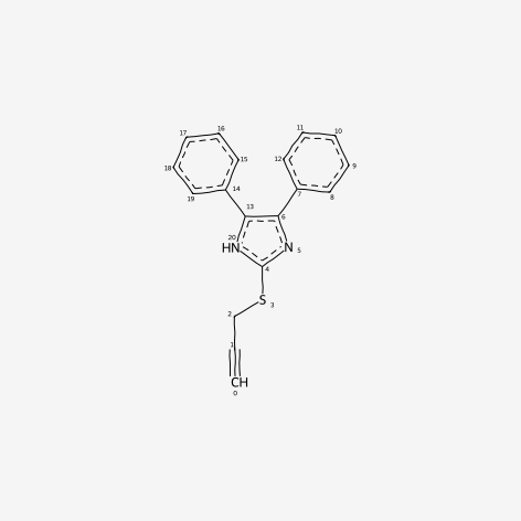 C#CCSc1nc(-c2ccccc2)c(-c2ccccc2)[nH]1